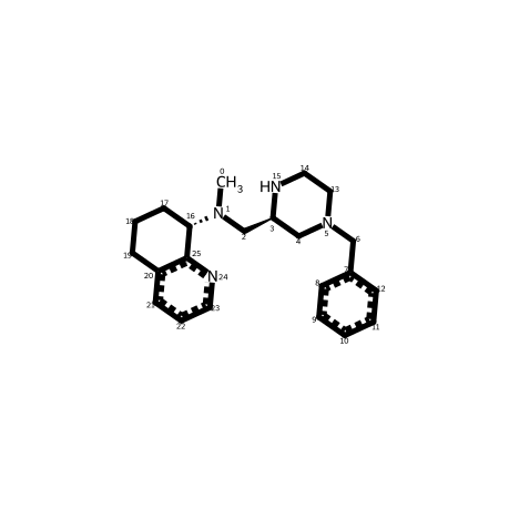 CN(C[C@@H]1CN(Cc2ccccc2)CCN1)[C@H]1CCCc2cccnc21